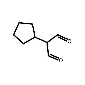 O=CC(C=O)C1CCCC1